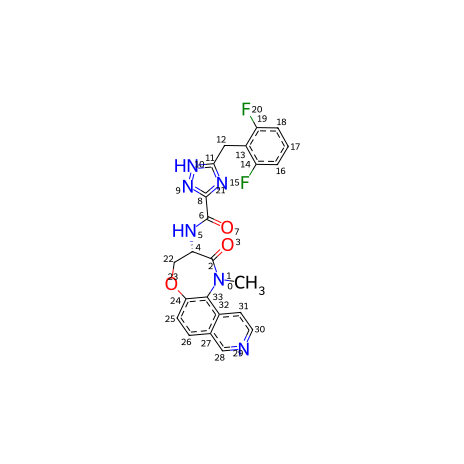 CN1C(=O)[C@@H](NC(=O)c2n[nH]c(Cc3c(F)cccc3F)n2)COc2ccc3cnccc3c21